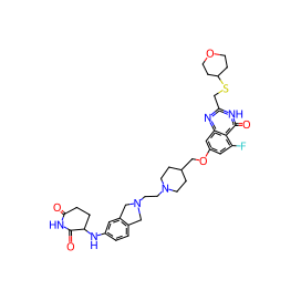 O=C1CCC(Nc2ccc3c(c2)CN(CCN2CCC(COc4cc(F)c5c(=O)[nH]c(CSC6CCOCC6)nc5c4)CC2)C3)C(=O)N1